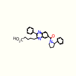 O=C(O)CCCCc1nc2cc(C(=O)N3CCCC3c3ccccc3)ccc2nc1-c1ccccc1